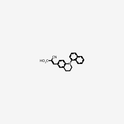 N#C/C(=C\c1ccc2c(c1)CCCN2c1cccc2ccccc12)C(=O)O